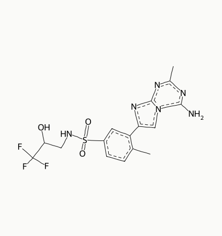 Cc1nc(N)n2cc(-c3cc(S(=O)(=O)NCC(O)C(F)(F)F)ccc3C)nc2n1